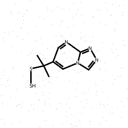 CC(C)(SS)c1cnc2nncn2c1